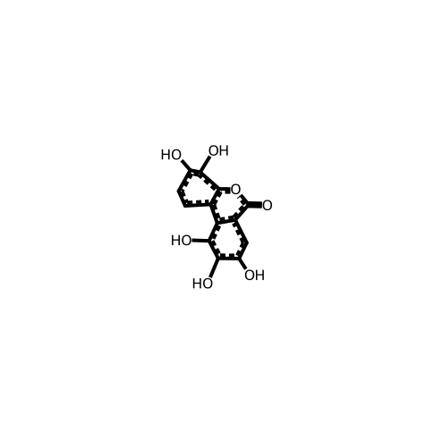 O=c1oc2c(O)c(O)ccc2c2c(O)c(O)c(O)cc12